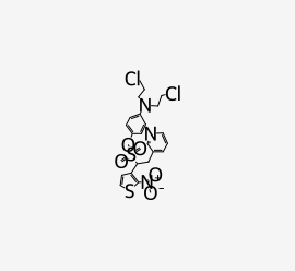 O=[N+]([O-])c1sccc1C(Cc1cccnc1)S(=O)(=O)Oc1ccc(N(CCCl)CCCl)cc1